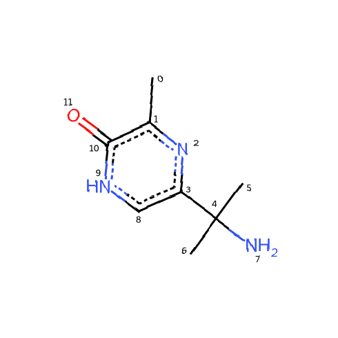 Cc1nc(C(C)(C)N)c[nH]c1=O